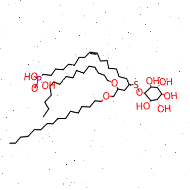 CCCCCCCCCCCCCCCCOCC(CC(CCCCCC/C=C\CCCCCCCCP(=O)(O)O)SO[C@@H]1[C@@H](O)[C@H](O)[C@@H](O)[C@H](O)[C@@H]1O)OCCCCCCCCCCCCCCCC